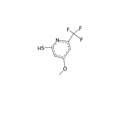 COc1cc(S)nc(C(F)(F)F)c1